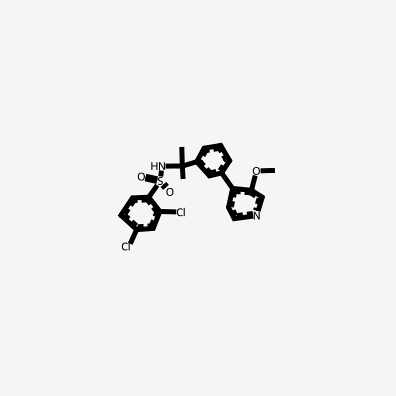 COc1cnccc1-c1cccc(C(C)(C)NS(=O)(=O)c2ccc(Cl)cc2Cl)c1